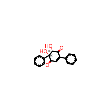 O=C1C(c2ccccc2)=CC(=O)[C@@](O)(c2ccccc2)[C@@H]1O